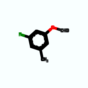 Cc1cc(F)cc(OC=O)c1